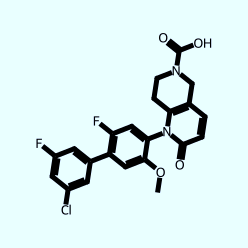 COc1cc(-c2cc(F)cc(Cl)c2)c(F)cc1-n1c2c(ccc1=O)CN(C(=O)O)CC2